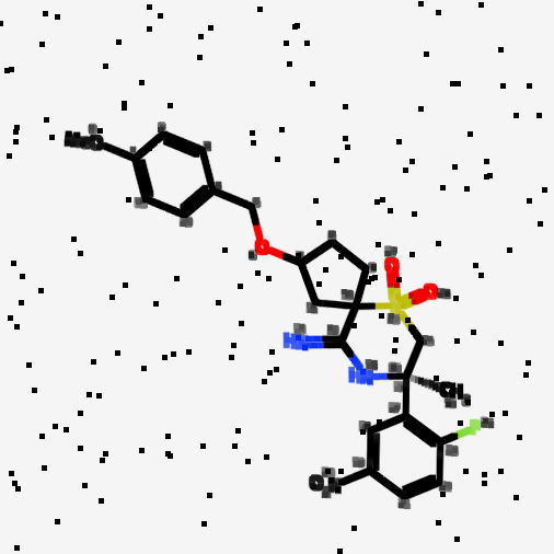 COc1ccc(COC2CCC3(C2)C(=N)N[C@](C)(c2cc([N+](=O)[O-])ccc2F)CS3(=O)=O)cc1